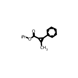 CC1=C(c2ccccc2)C1C(=O)OC(C)C